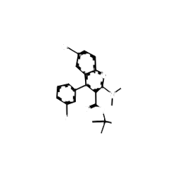 CN(C)c1nc2ccc(Cl)cc2c(-c2cccc(Cl)c2)c1C(=O)OC(C)(C)C